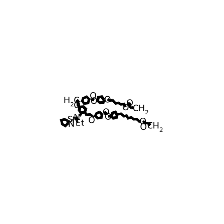 C=CC(=O)OCCCCCCCCc1ccc(OC(=O)[C@H]2CC[C@H](C(=O)CCc3ccc(OC(=C)[C@H]4CC[C@H](C(=O)Oc5ccc(OCCCCCCOC(=O)C=C)cc5)CC4)cc3/C=N/N(CC)c3nc4c(s3)CCCC4)CC2)cc1